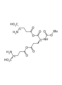 CC(C)(C)OC(=O)N[C@@H](CCC(=O)OC(=O)CC[C@H](N)C(=O)O)C(=O)OC(=O)CC[C@H](N)C(=O)O